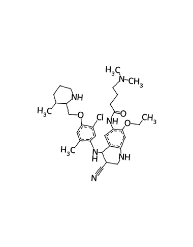 CCOc1cc2c(cc1NC(=O)CCCN(C)C)C(Nc1cc(Cl)c(OCC3NCCCC3C)cc1C)C(C#N)CN2